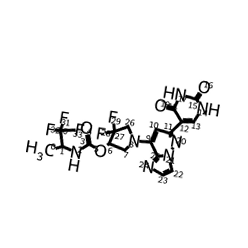 CC(NC(=O)OC1CN(c2cc(-c3c[nH]c(=O)[nH]c3=O)nn3ccnc23)CC1(F)F)C(F)(F)F